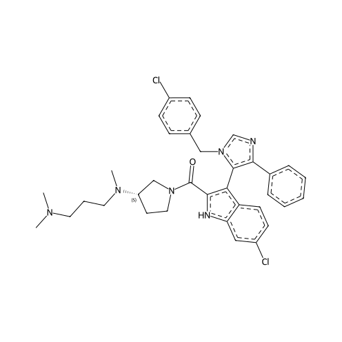 CN(C)CCCN(C)[C@H]1CCN(C(=O)c2[nH]c3cc(Cl)ccc3c2-c2c(-c3ccccc3)ncn2Cc2ccc(Cl)cc2)C1